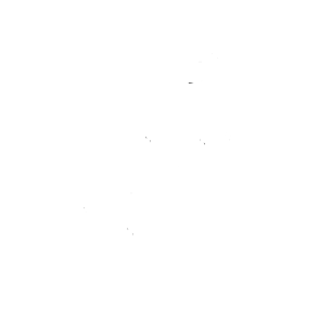 CC[C@@]1(O)C(=O)OCc2c1cc1n(c2=O)Cc2cc3c(CN4CCOCC4)c(OC(C)=O)ccc3nc2-1